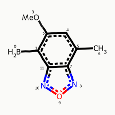 Bc1c(OC)cc(C)c2nonc12